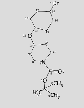 CC(C)(C)OC(=O)N1CCC(OC2CCC(Br)CC2)CC1